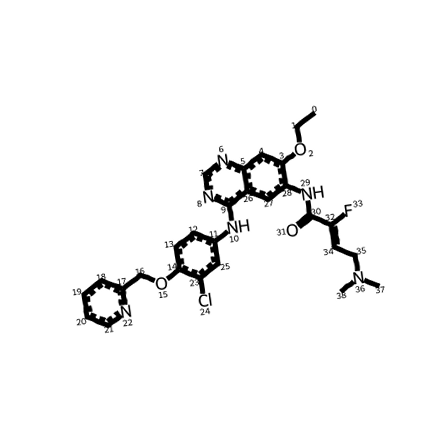 CCOc1cc2ncnc(Nc3ccc(OCc4ccccn4)c(Cl)c3)c2cc1NC(=O)C(F)=CCN(C)C